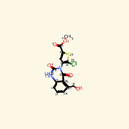 COC(=O)c1cc(-n2c(=O)[nH]c3cccc(CO)c3c2=O)c(Cl)s1